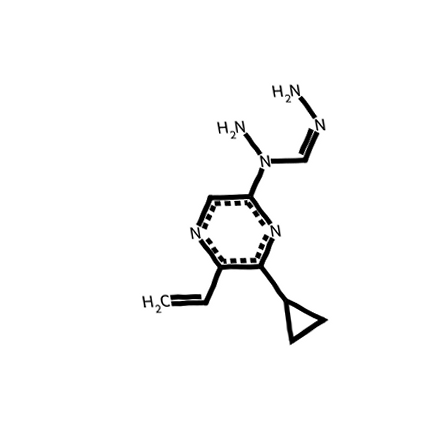 C=Cc1ncc(N(N)/C=N\N)nc1C1CC1